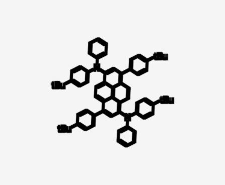 CC(C)(C)c1ccc(-c2cc(N(c3ccccc3)c3ccc(C(C)(C)C)cc3)c3ccc4c(-c5ccc(C(C)(C)C)cc5)cc(N(c5ccccc5)c5ccc(C(C)(C)C)cc5)c5ccc2c3c45)cc1